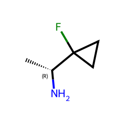 C[C@@H](N)C1(F)CC1